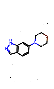 [CH]1CN(c2ccc3cn[nH]c3c2)CCS1